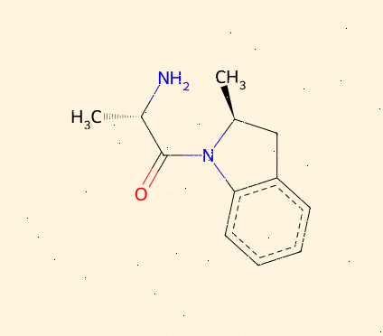 C[C@H](N)C(=O)N1c2ccccc2C[C@@H]1C